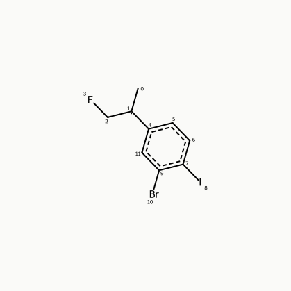 C[C](CF)c1ccc(I)c(Br)c1